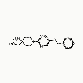 NC1(CO)CCN(c2ncc(OCc3ccccc3)cn2)CC1